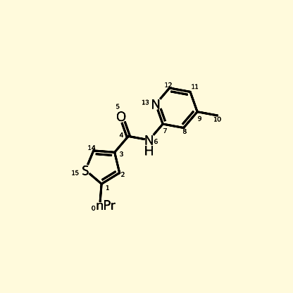 CCCc1cc(C(=O)Nc2cc(C)ccn2)cs1